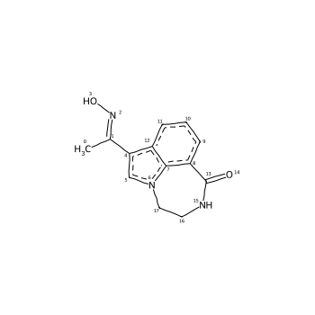 CC(=NO)c1cn2c3c(cccc13)C(=O)NCC2